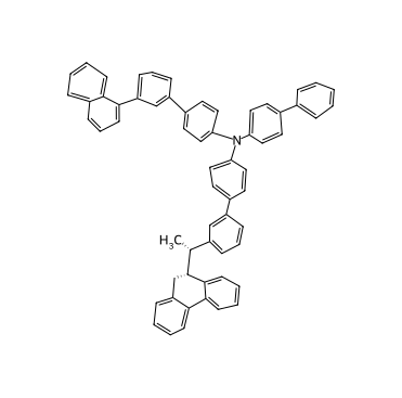 C[C@H](c1cccc(-c2ccc(N(c3ccc(-c4ccccc4)cc3)c3ccc(-c4cccc(-c5cccc6ccccc56)c4)cc3)cc2)c1)[C@H]1Cc2ccccc2-c2ccccc21